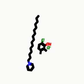 CCCCCCCCCCCCCCCC[n+]1ccccc1.Cc1ccc(Cl)c(O)c1C.[Cl-]